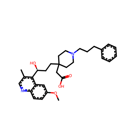 COc1ccc2ncc(C)c([C@@H](O)CCC3(CC(=O)O)CCN(CCCc4ccccc4)CC3)c2c1